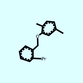 C[C](C)c1ccccc1COc1cc(C)ccc1C